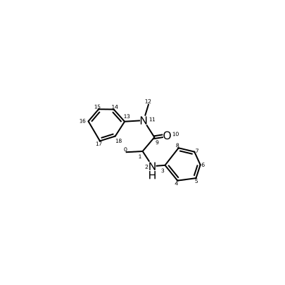 CC(Nc1ccccc1)C(=O)N(C)c1ccccc1